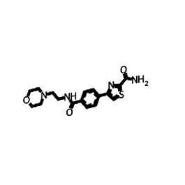 NC(=O)c1nc(-c2ccc(C(=O)NCCN3CCOCC3)cc2)cs1